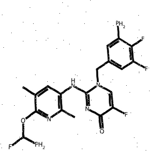 Cc1cc(Nc2nc(=O)c(F)cn2Cc2cc(F)c(F)c(P)c2)c(C)nc1OC(F)P